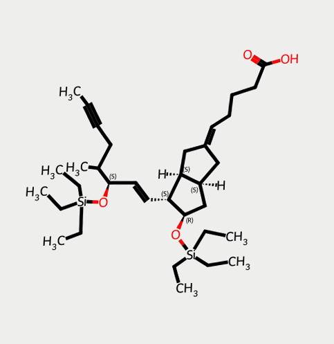 CC#CCC(C)[C@@H](C=C[C@@H]1[C@H]2CC(=CCCCC(=O)O)C[C@H]2C[C@H]1O[Si](CC)(CC)CC)O[Si](CC)(CC)CC